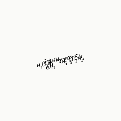 COC(C)(C)[C@@H]1CC[C@@](C)(O)[C@H]1CC/C(C)=C/C=C/C(C)=C/C=C/C=C(C)/C=C/C=C(C)/C=C/C=C(\C)CCC=C(C)C